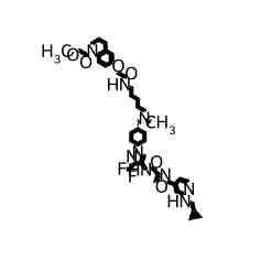 COCC(=O)N1CCCc2cc(OCC(=O)NCCCCCN(C)C[C@H]3CC[C@H](n4cc(NC(=O)c5coc(-c6ccnc(NCC7CC7)c6)n5)c(C(F)F)n4)CC3)ccc21